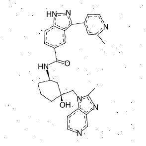 Cc1cc(-c2n[nH]c3ccc(C(=O)N[C@@H]4CCC[C@@](O)(Cn5c(C)nc6cnccc65)C4)cc23)ccn1